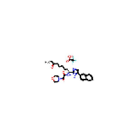 CCC(=O)CCCCC[C@H](NC(=O)C(=O)N1CCOCC1)c1ncc(-c2ccc3ccccc3c2)[nH]1.O=C(O)C(F)(F)F